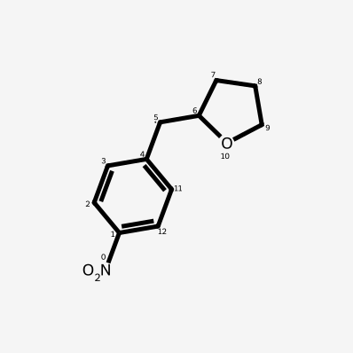 O=[N+]([O-])c1ccc([CH]C2CCCO2)cc1